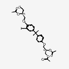 CC(=O)OC[C@@H](COc1ccc(C(C)(C)c2ccc(OC[C@H](CCl)OC(C)=O)c(I)c2)cc1)OC(C)=O